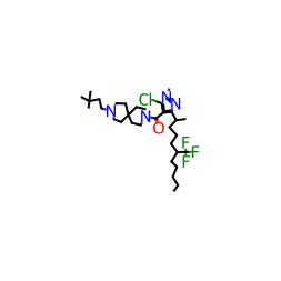 CCCCCC(CCCC(C)c1nn(C)c(Cl)c1C(=O)N1CCC2(CCN(CCC(C)(C)C)CC2)CC1)C(F)(F)F